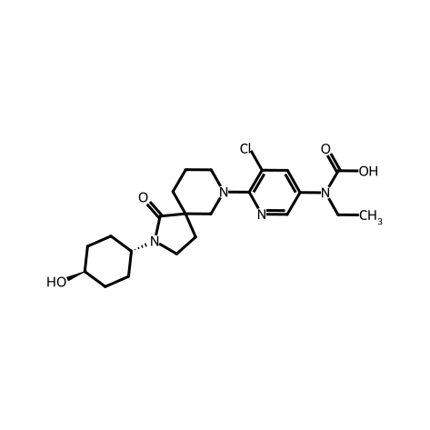 CCN(C(=O)O)c1cnc(N2CCCC3(CCN([C@H]4CC[C@H](O)CC4)C3=O)C2)c(Cl)c1